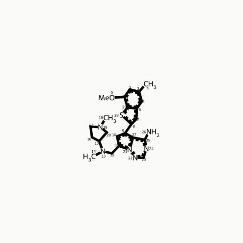 COc1cc(C)cc2cc(-c3cc(CN(C)C4CCN(C)C4)n4ncnc(N)c34)sc12